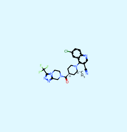 C[C@@H]1C[C@@H](C(=O)N2CCn3c(nnc3C(F)(F)F)C2)CCN1c1c(C#N)cnc2ccc(Cl)cc12